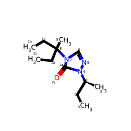 CC[C@H](C)n1ncn(C(C)(CC)CC)c1=O